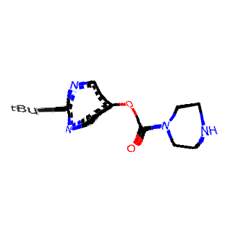 CC(C)(C)c1ncc(OC(=O)N2CCNCC2)cn1